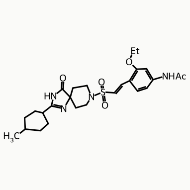 CCOc1cc(NC(C)=O)ccc1C=CS(=O)(=O)N1CCC2(CC1)N=C(C1CCC(C)CC1)NC2=O